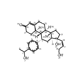 CC(O)c1ccc([C@H]2C[C@@]3(C)[C@@H](CC[C@@]3(O)/C=C\CO)[C@@H]3CCC4=CC(=O)CC[C@@H]4[C@H]32)cc1